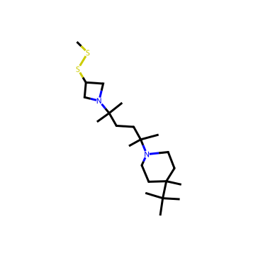 CSSC1CN(C(C)(C)CCC(C)(C)N2CCC(C)(C(C)(C)C)CC2)C1